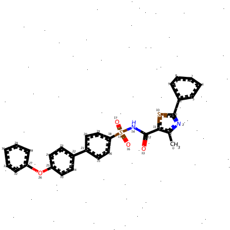 Cc1nc(-c2ccccc2)sc1C(=O)NS(=O)(=O)c1ccc(-c2ccc(Oc3ccccc3)cc2)cc1